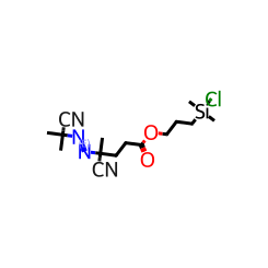 CC(C)(C#N)/N=N/C(C)(C#N)CCC(=O)OCCC[Si](C)(C)Cl